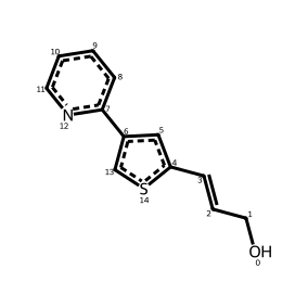 OC/C=C/c1cc(-c2ccccn2)cs1